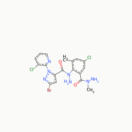 Cc1cc(Cl)cc(C(=O)N(C)N)c1N(N)C(=O)c1cc(Br)nn1-c1ncccc1Cl